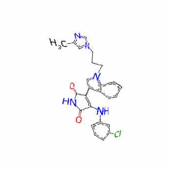 Cc1cn(CCCn2cc(C3=C(Nc4cccc(Cl)c4)C(=O)NC3=O)c3ccccc32)cn1